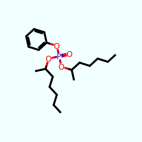 CCCCCC(C)OP(=O)(Oc1ccccc1)OC(C)CCCCC